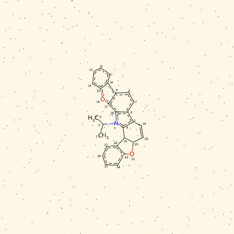 CC(C)n1c2c(c3ccc4c5ccccc5oc4c31)C=CC1Oc3ccccc3C21